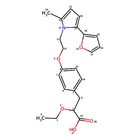 CCOC(Cc1ccc(OCCn2c(C)ccc2-c2ccco2)cc1)C(=O)O